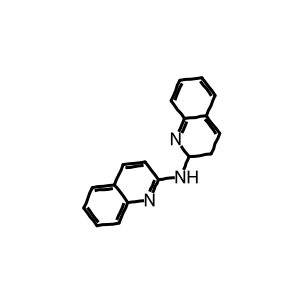 C1=c2ccccc2=NC(Nc2ccc3ccccc3n2)C1